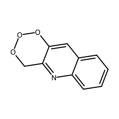 c1ccc2nc3c(cc2c1)OOOC3